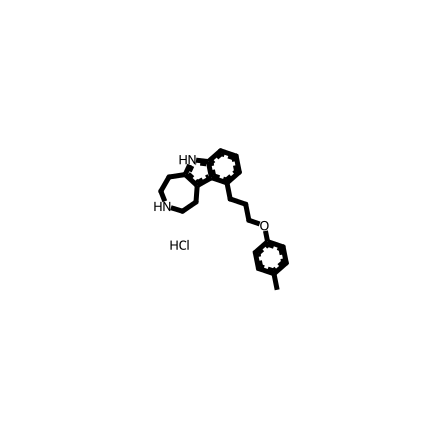 Cc1ccc(OCCCc2cccc3[nH]c4c(c23)CCNCC4)cc1.Cl